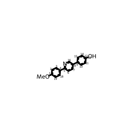 COc1ccc(-c2ccc(-c3ccc(O)cc3)cn2)cc1